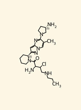 CCCNCC(Cl)C(N)C(=O)N1CCCC[C@H]1c1cc2nc(N3CC[C@H](N)C3)c(C)cn2n1